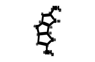 Nc1cc2sc3cc(N)sc3c2s1